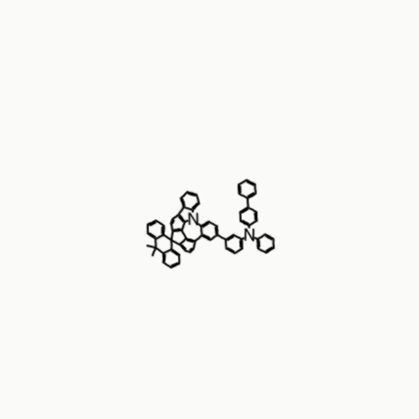 CC1(C)c2ccccc2C2(c3ccccc31)c1cccc3c1-c1c2ccc2c4ccccc4n(c12)-c1ccc(-c2cccc(N(c4ccccc4)c4ccc(-c5ccccc5)cc4)c2)cc1-3